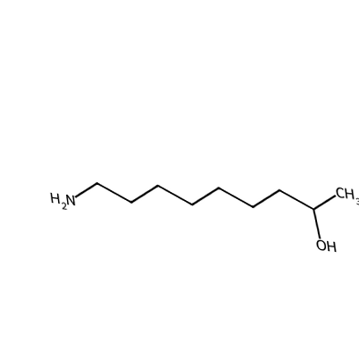 CC(O)CCCCCCCN